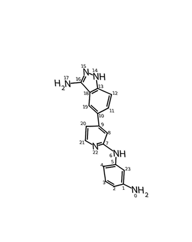 Nc1cccc(Nc2cc(-c3ccc4[nH]nc(N)c4c3)ccn2)c1